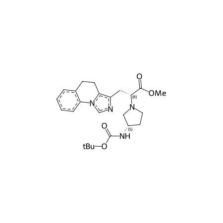 COC(=O)[C@@H](Cc1ncn2c1CCc1ccccc1-2)N1CC[C@H](NC(=O)OC(C)(C)C)C1